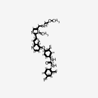 COCCNCc1cnc(-c2cc3nccc(Oc4ccc(NC(=O)Nc5ccc(F)cc5F)cc4F)c3s2)n1C